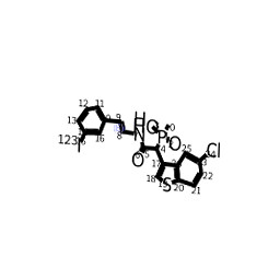 CP(=O)(O)C(C(=O)N/C=C/c1cccc([123I])c1)c1csc2ccc(Cl)cc12